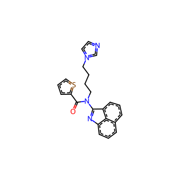 O=C(c1cccs1)N(CCCCn1ccnc1)C1=Nc2cccc3cccc1c23